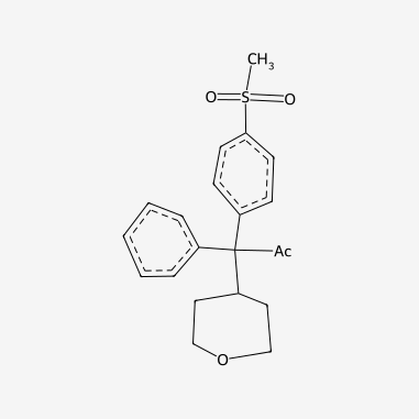 CC(=O)C(c1ccccc1)(c1ccc(S(C)(=O)=O)cc1)C1CCOCC1